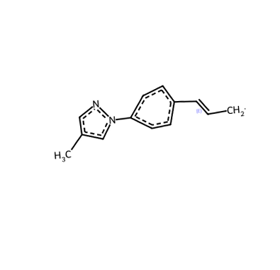 [CH2]/C=C/c1ccc(-n2cc(C)cn2)cc1